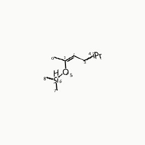 CC(=CCC(C)C)O[SiH](C)C